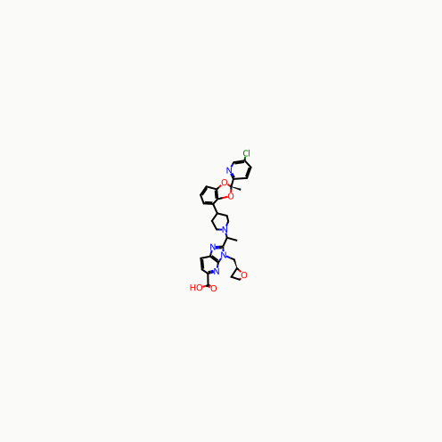 CC(c1nc2ccc(C(=O)O)nc2n1C[C@@H]1CCO1)N1CCC(c2cccc3c2O[C@@](C)(c2ccc(Cl)cn2)O3)CC1